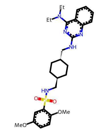 CCN(CC)c1nc(NC[C@H]2CC[C@H](CNS(=O)(=O)c3cc(OC)ccc3OC)CC2)nc2ccccc12